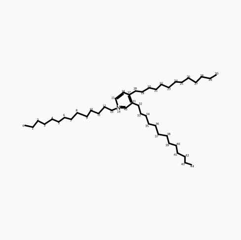 CCCCCCCCCCCCCC[n+]1ccc(CCCCCCCCCCCCC)c(CCCCCCCCCCCCC)c1